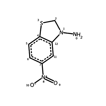 NN1CSc2ccc([N+](=O)[O-])cc21